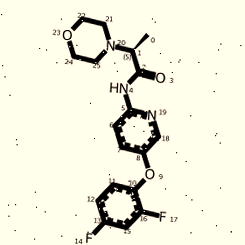 C[C@@H](C(=O)Nc1ccc(Oc2ccc(F)cc2F)cn1)N1CCOCC1